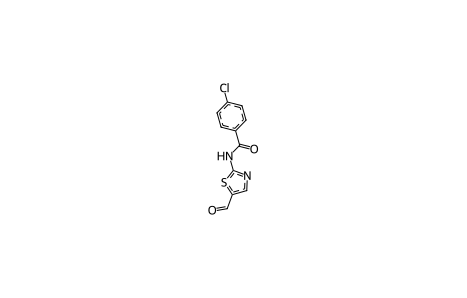 O=Cc1cnc(NC(=O)c2ccc(Cl)cc2)s1